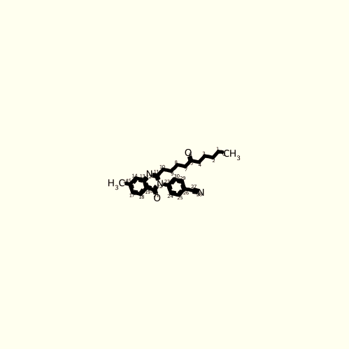 CCCCCC(=O)CCCCc1nc2cc(C)ccc2c(=O)n1-c1ccc(C#N)cc1